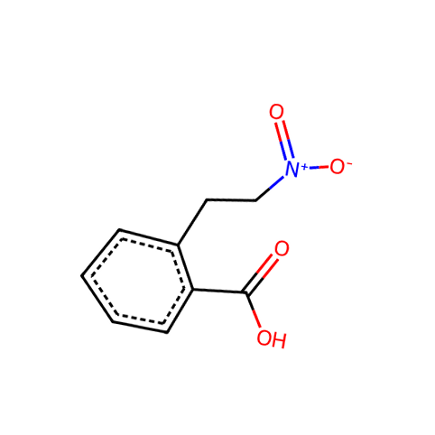 O=C(O)c1ccccc1CC[N+](=O)[O-]